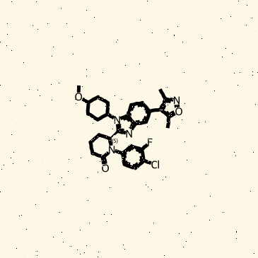 COC1CCC(n2c([C@@H]3CCCC(=O)N3c3ccc(Cl)c(F)c3)nc3cc(-c4c(C)noc4C)ccc32)CC1